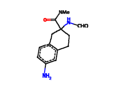 CNC(=O)C1(NC=O)CCc2cc(N)ccc2C1